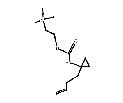 C=CCCC1(NC(=O)OCC[Si](C)(C)C)CC1